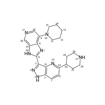 c1cc2[nH]nc(-c3nc4c(N5CCCCC5)cncc4[nH]3)c2nc1C1CCNCC1